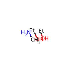 CCO.CCO.CN